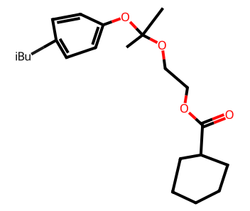 CCC(C)c1ccc(OC(C)(C)OCCOC(=O)C2CCCCC2)cc1